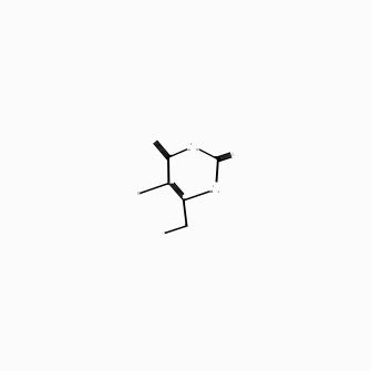 O=c1[nH]c(CO)c(Cl)c(=O)[nH]1